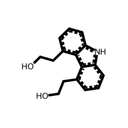 OCCc1cccc2[nH]c3cccc(CCO)c3c12